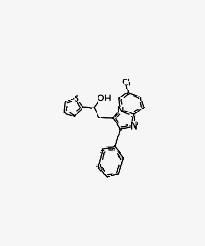 OC(Cc1c(-c2ccccc2)nc2ccc(Cl)cn12)c1cccs1